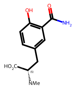 CN[C@@H](Cc1ccc(O)c(C(N)=O)c1)C(=O)O